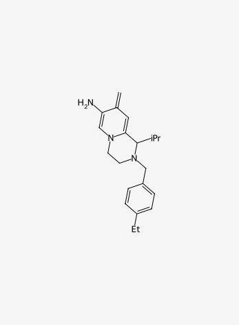 C=C1C=C2C(C(C)C)N(Cc3ccc(CC)cc3)CCN2C=C1N